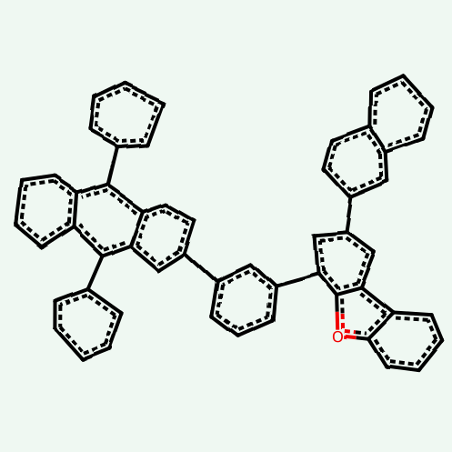 c1ccc(-c2c3ccccc3c(-c3ccccc3)c3cc(-c4cccc(-c5cc(-c6ccc7ccccc7c6)cc6c5oc5ccccc56)c4)ccc23)cc1